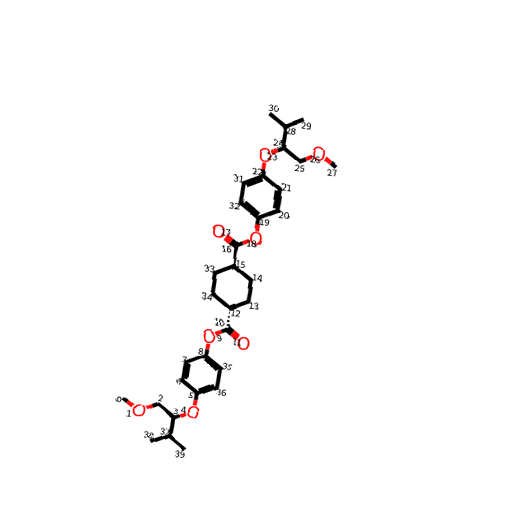 COCC(Oc1ccc(OC(=O)[C@H]2CC[C@H](C(=O)Oc3ccc(OC(COC)C(C)C)cc3)CC2)cc1)C(C)C